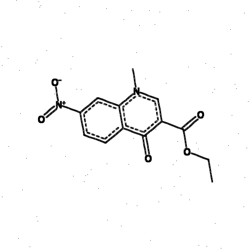 CCOC(=O)c1cn(C)c2cc([N+](=O)[O-])ccc2c1=O